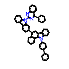 c1ccc(-c2ccc(-n3c4ccccc4c4cc(-c5ccc6c7ccccc7n(-c7nc(-c8ccccc8)c8ccccc8n7)c6c5)c5ccccc5c43)cc2)cc1